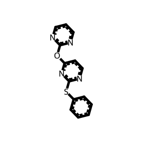 c1ccc(Sc2nccc(Oc3ncccn3)n2)cc1